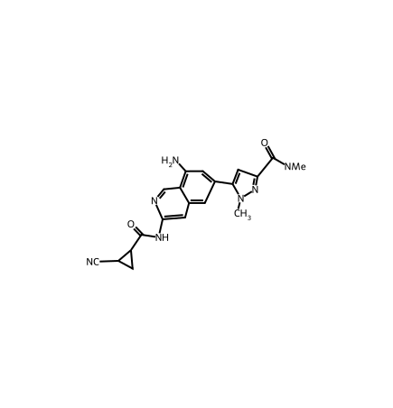 CNC(=O)c1cc(-c2cc(N)c3cnc(NC(=O)C4CC4C#N)cc3c2)n(C)n1